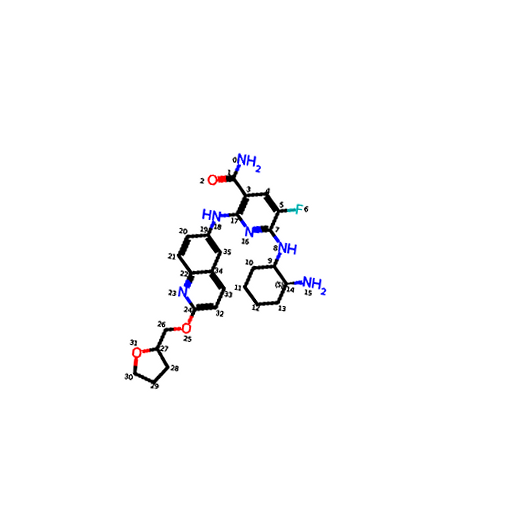 NC(=O)c1cc(F)c(NC2CCCC[C@@H]2N)nc1Nc1ccc2nc(OCC3CCCO3)ccc2c1